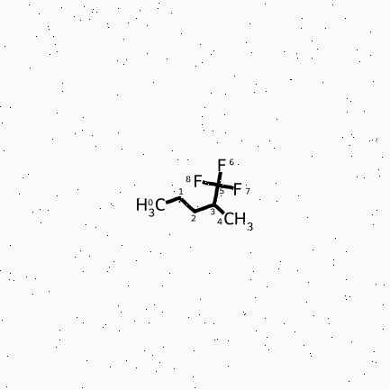 C[CH]CC(C)C(F)(F)F